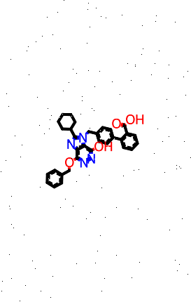 O=C(O)c1ccccc1-c1ccc(Cn2c(C3CCCCC3)nc3c(OCc4ccccc4)nnc(O)c32)cc1